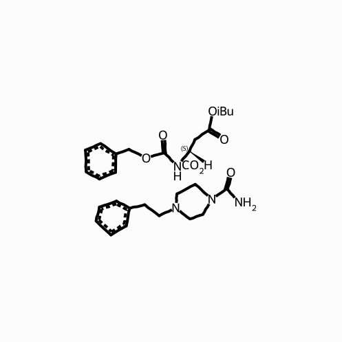 CC(C)COC(=O)C[C@H](NC(=O)OCc1ccccc1)C(=O)O.NC(=O)N1CCN(CCc2ccccc2)CC1